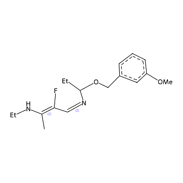 CCN/C(C)=C(F)/C=N\C(CC)OCc1cccc(OC)c1